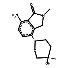 CN1Cc2c(c(N)ccc2[C@H]2CC[C@](C)(O)CC2)C1=O